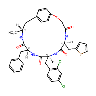 O=C1COc2ccc(cc2)C[C@@H](C(=O)O)NC(=O)[C@H](Cc2ccccc2)NC(=O)[C@H](Cc2ccc(Cl)cc2Cl)NC(=O)[C@H](Cc2cccs2)N1